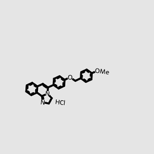 COc1ccc(COc2ccc(C3=Cc4ccccc4C4=NCCN34)cc2)cc1.Cl